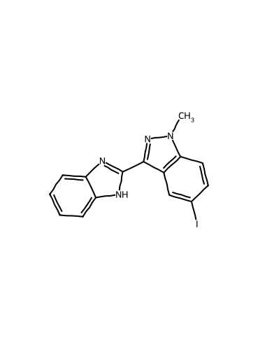 Cn1nc(-c2nc3ccccc3[nH]2)c2cc(I)ccc21